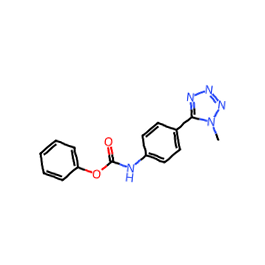 Cn1nnnc1-c1ccc(NC(=O)Oc2ccccc2)cc1